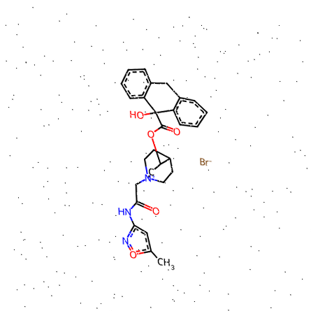 Cc1cc(NC(=O)C[N+]23CCC(CC2)C(OC(=O)C2(O)c4ccccc4Cc4ccccc42)C3)no1.[Br-]